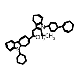 CCc1c(CC(C)C2=CCC3C(C=C2)c2ccccc2N3C2CCCCC2)c2c(n1C1CCC(C3=CCCCC=C3)CC1)C=CCC2